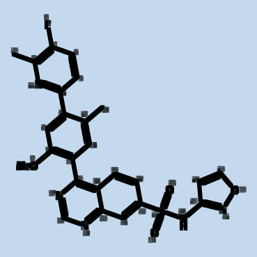 COc1cc(-c2ccc(F)c(C)n2)c(C)cc1-c1ncnc2cc(S(=O)(=O)Nc3ccon3)ccc12